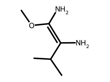 CO/C(N)=C(/N)C(C)C